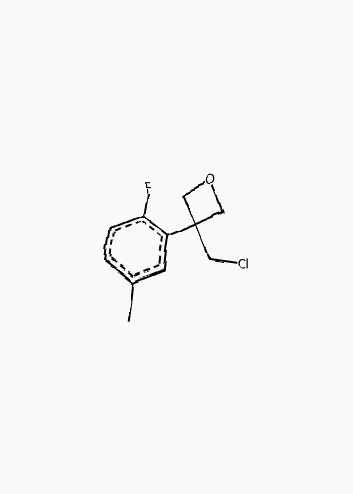 Cc1ccc(F)c(C2(CCl)COC2)c1